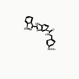 CC(=O)Nc1ccc(CNC(=O)c2ccc3[nH]c(-c4n[nH]c5ccccc45)nc3c2)cc1